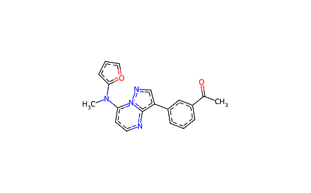 CC(=O)c1cccc(-c2cnn3c(N(C)c4ccco4)ccnc23)c1